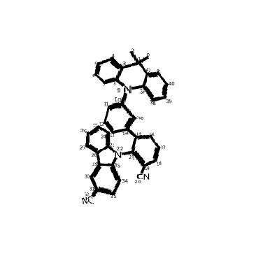 CC1(C)c2ccccc2N(c2cccc(-c3cccc(C#N)c3-n3c4ccccc4c4cc(C#N)ccc43)c2)c2ccccc21